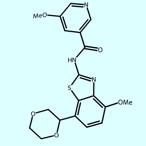 COc1cncc(C(=O)Nc2nc3c(OC)ccc(C4COCCO4)c3s2)c1